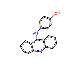 Oc1ccc(Nc2c3ccccc3nc3ccccc23)cc1